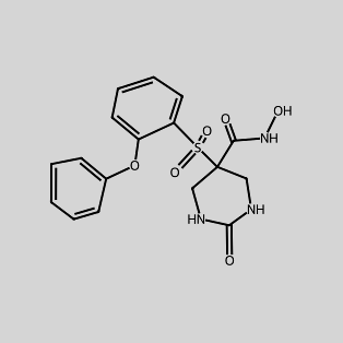 O=C1NCC(C(=O)NO)(S(=O)(=O)c2ccccc2Oc2ccccc2)CN1